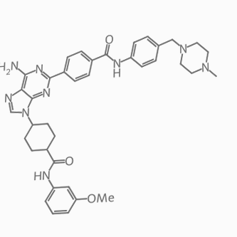 COc1cccc(NC(=O)C2CCC(n3cnc4c(N)nc(-c5ccc(C(=O)Nc6ccc(CN7CCN(C)CC7)cc6)cc5)nc43)CC2)c1